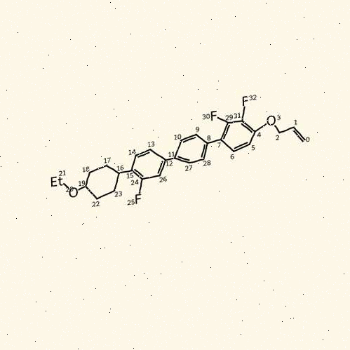 C=CCOc1ccc(-c2ccc(-c3ccc(C4CCC(OCC)CC4)c(F)c3)cc2)c(F)c1F